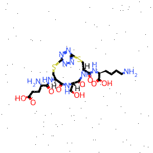 NCCCC[C@H](NC(=O)[C@@H]1CSc2nnc(nn2)SC[C@H](NC(=O)[C@@H](N)CCC(=O)O)C(=O)N[C@@H](CO)C(=O)N1)C(=O)O